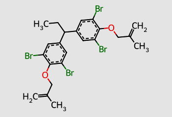 C=C(C)COc1c(Br)cc(C(CC)c2cc(Br)c(OCC(=C)C)c(Br)c2)cc1Br